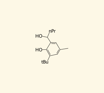 CCCC(O)c1cc(C)cc(C(C)(C)C)c1O